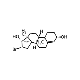 C[C@]12CC[C@H]3[C@@H](CCC4=C[C@H](O)CC[C@@]43C)[C@@H]1C[C@@H](Br)[C@@H]2O